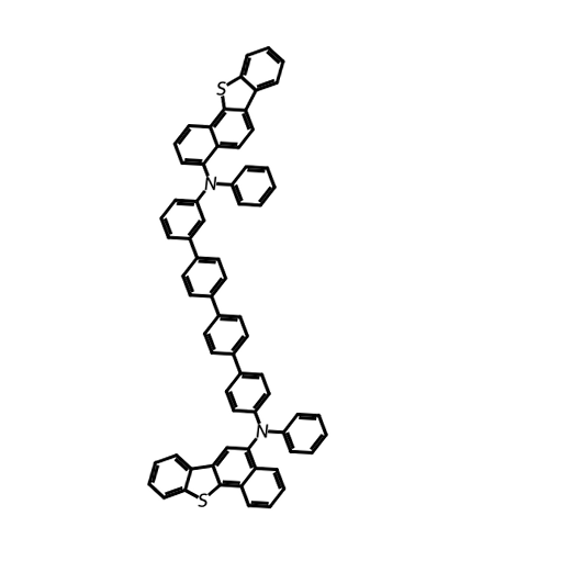 c1ccc(N(c2cccc(-c3ccc(-c4ccc(-c5ccc(N(c6ccccc6)c6cc7c8ccccc8sc7c7ccccc67)cc5)cc4)cc3)c2)c2cccc3c2ccc2c4ccccc4sc32)cc1